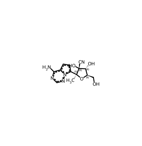 C[C@@]1(c2ccc3c(N)ncnn23)O[C@H](CO)[C@@H](O)[C@]1(O)C#N